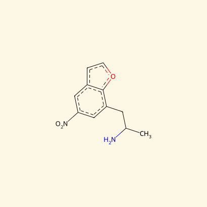 CC(N)Cc1cc([N+](=O)[O-])cc2ccoc12